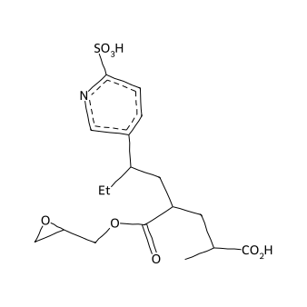 CCC(CC(CC(C)C(=O)O)C(=O)OCC1CO1)c1ccc(S(=O)(=O)O)nc1